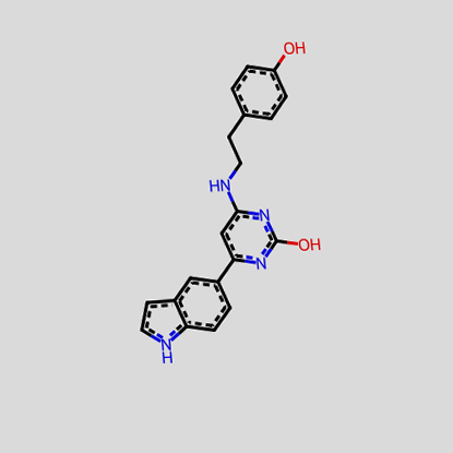 Oc1ccc(CCNc2cc(-c3ccc4[nH]ccc4c3)nc(O)n2)cc1